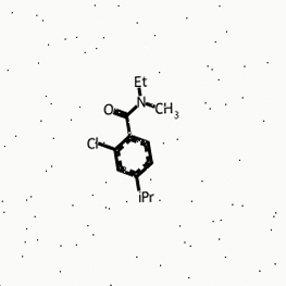 CCN(C)C(=O)c1ccc(C(C)C)cc1Cl